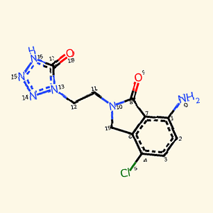 Nc1ccc(Cl)c2c1C(=O)N(CCn1nn[nH]c1=O)C2